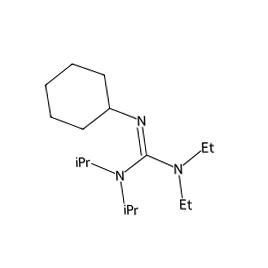 CCN(CC)C(=NC1CCCCC1)N(C(C)C)C(C)C